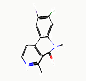 Cc1nccc2c1c(=O)n(C)c1cc(Cl)c(I)cc21